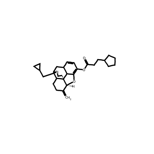 C=C1CCC2C3CC4C=CC(OC(=O)CCC5CCCC5)=C5O[C@@H]1[C@]2(CCN3CC1CC1)C54